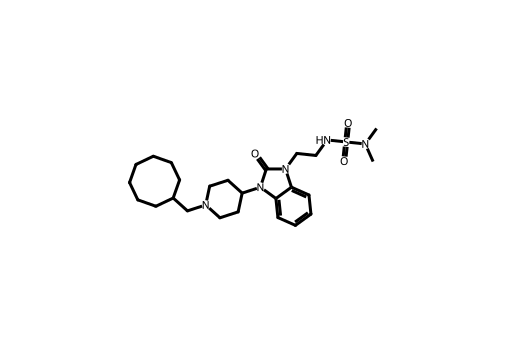 CN(C)S(=O)(=O)NCCn1c(=O)n(C2CCN(CC3CCCCCCC3)CC2)c2ccccc21